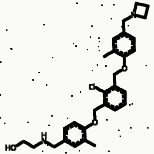 Cc1cc(CNCCO)ccc1OCc1cccc(COc2ccc(CN3CCC3)cc2C)c1Cl